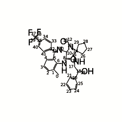 Cc1cccc2c1NC(=O)C(N(C=O)C1(CNC[C@H](O)c3ccccc3)CCCC1)N=C2c1ccc(C(F)(F)F)cc1